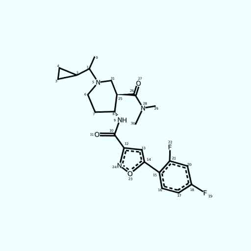 CC(C1CC1)N1CC[C@@H](NC(=O)c2cc(-c3ccc(F)cc3F)on2)[C@H](C(=O)N(C)C)C1